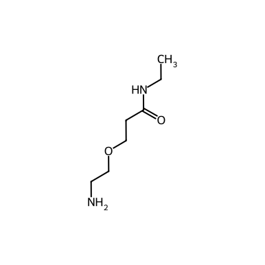 CCNC(=O)CCOCCN